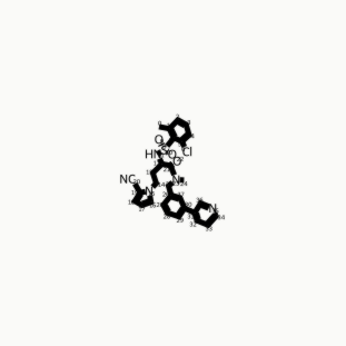 Cc1cccc(Cl)c1S(=O)(=O)NC(CCn1cccc1C#N)C(=O)N(C)Cc1cccc(-c2cccnc2)c1